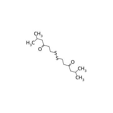 CC(C)CC(=O)CCSSCCC(=O)CC(C)C